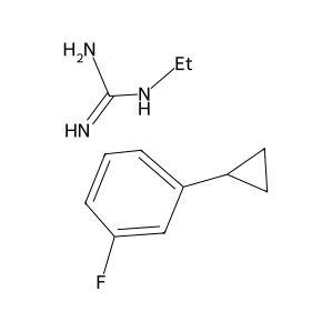 CCNC(=N)N.Fc1cccc(C2CC2)c1